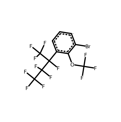 FC(F)(F)Oc1c(Br)[c]ccc1C(F)(C(F)(F)F)C(F)(F)C(F)(F)F